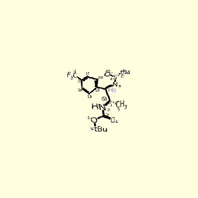 C[C@H](NC(=O)OC(C)(C)C)/C(=N/[S+]([O-])C(C)(C)C)c1ccc(C(F)(F)F)cc1